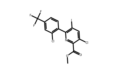 COC(=O)c1nc(-c2ccc(C(F)(F)F)cc2Cl)c(I)cc1Cl